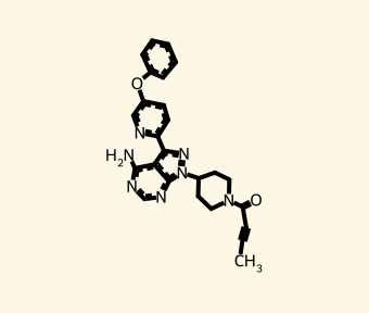 CC#CC(=O)N1CCC(n2nc(-c3ccc(Oc4ccccc4)cn3)c3c(N)ncnc32)CC1